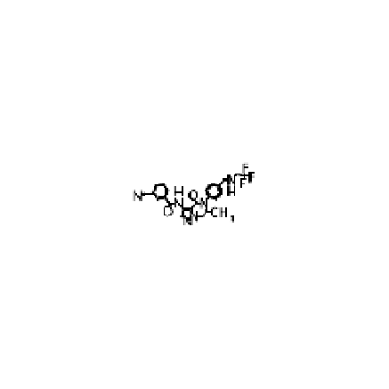 CC1Cn2ncc(NC(=O)c3cccc(C#N)c3)c2C(=O)N1c1ccc(CNCC(F)(F)F)cc1